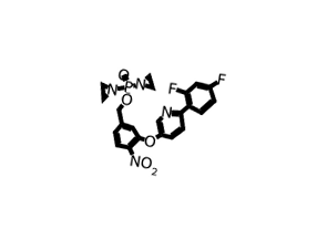 O=[N+]([O-])c1ccc(COP(=O)(N2CC2)N2CC2)cc1Oc1ccc(-c2ccc(F)cc2F)nc1